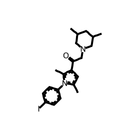 Cc1cc(C(=O)CN2CC(C)CC(C)C2)c(C)n1-c1ccc(I)cc1